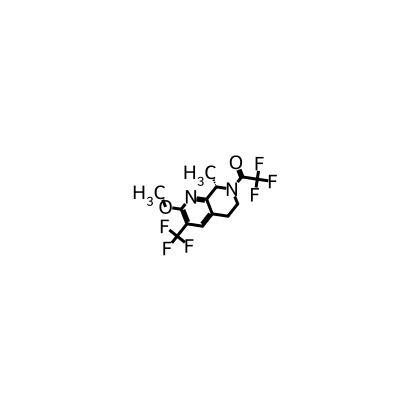 COc1nc2c(cc1C(F)(F)F)CCN(C(=O)C(F)(F)F)[C@H]2C